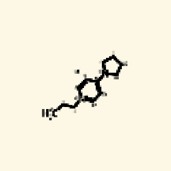 CCC[n+]1ccc(N2CCCC2)cc1.[I-]